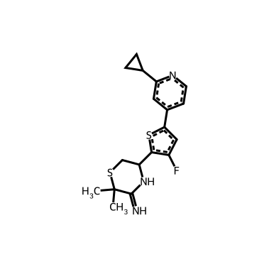 CC1(C)SCC(c2sc(-c3ccnc(C4CC4)c3)cc2F)NC1=N